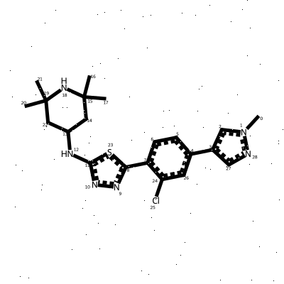 Cn1cc(-c2ccc(-c3nnc(NC4CC(C)(C)NC(C)(C)C4)s3)c(Cl)c2)cn1